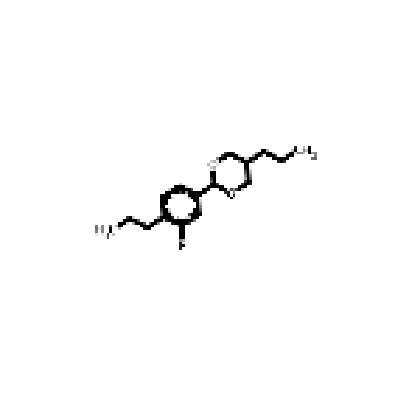 CCCc1ccc(C2OCC(CCC)CO2)cc1F